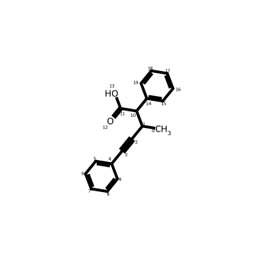 CC(C#Cc1ccccc1)C(C(=O)O)c1ccccc1